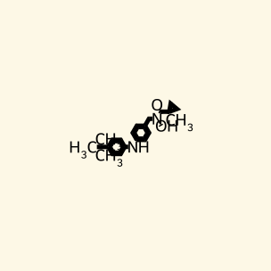 CC1(C(=O)N(O)Cc2ccc(Nc3ccc(C(C)(C)C)cc3)cc2)CC1